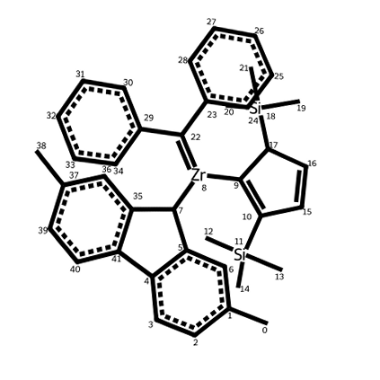 Cc1ccc2c(c1)[CH]([Zr]([C]1=C([Si](C)(C)C)C=CC1[Si](C)(C)C)=[C](c1ccccc1)c1ccccc1)c1cc(C)ccc1-2